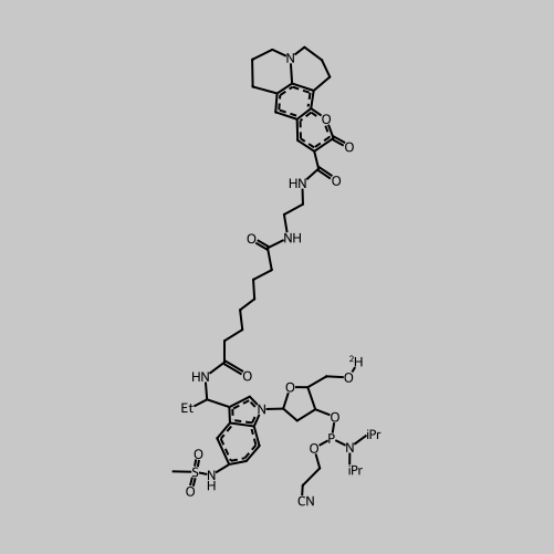 [2H]OCC1OC(n2cc(C(CC)NC(=O)CCCCCCC(=O)NCCNC(=O)c3cc4cc5c6c(c4oc3=O)CCCN6CCC5)c3cc(NS(C)(=O)=O)ccc32)CC1OP(OCCC#N)N(C(C)C)C(C)C